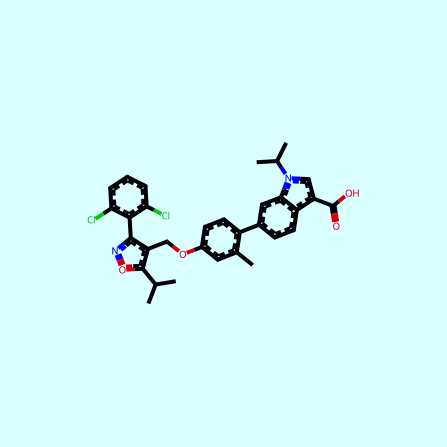 Cc1cc(OCc2c(-c3c(Cl)cccc3Cl)noc2C(C)C)ccc1-c1ccc2c(C(=O)O)cn(C(C)C)c2c1